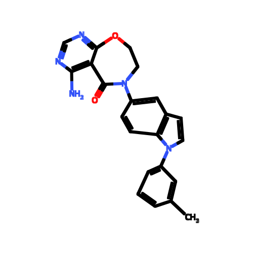 Cc1cccc(-n2ccc3cc(N4CCOc5ncnc(N)c5C4=O)ccc32)c1